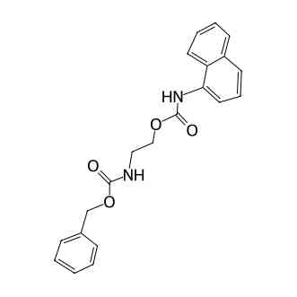 O=C(NCCOC(=O)Nc1cccc2ccccc12)OCc1ccccc1